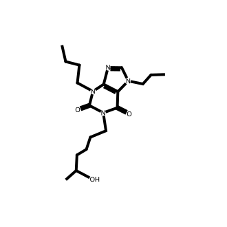 CCCCn1c(=O)n(CCCCC(C)O)c(=O)c2c1ncn2CCC